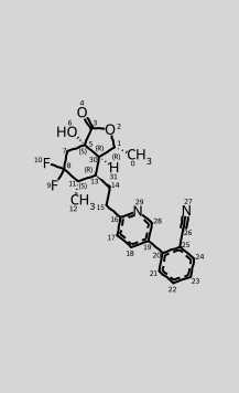 C[C@H]1OC(=O)[C@]2(O)CC(F)(F)[C@@H](C)[C@H](CCc3ccc(-c4ccccc4C#N)cn3)[C@H]12